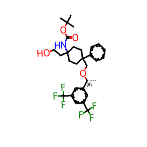 C[C@@H](OCC1(c2ccccc2)CCC(CCO)(NC(=O)OC(C)(C)C)CC1)c1cc(C(F)(F)F)cc(C(F)(F)F)c1